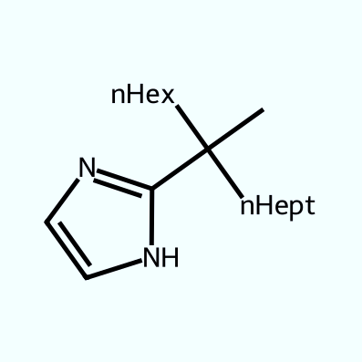 CCCCCCCC(C)(CCCCCC)c1ncc[nH]1